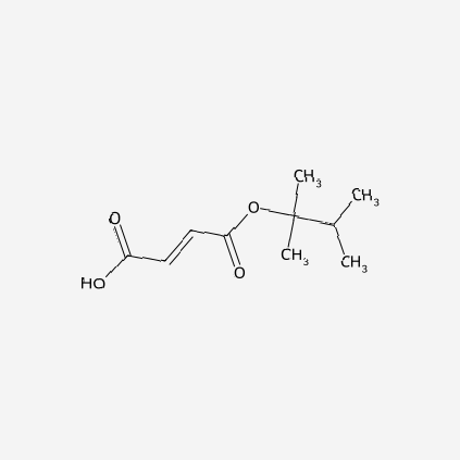 CC(C)C(C)(C)OC(=O)C=CC(=O)O